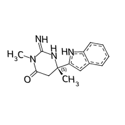 CN1C(=N)N[C@](C)(c2cc3ccccc3[nH]2)CC1=O